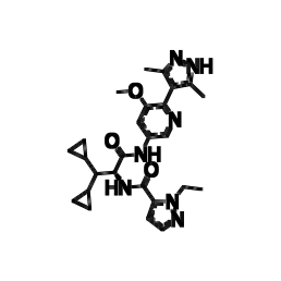 CCn1nccc1C(=O)N[C@H](C(=O)Nc1cnc(-c2c(C)n[nH]c2C)c(OC)c1)C(C1CC1)C1CC1